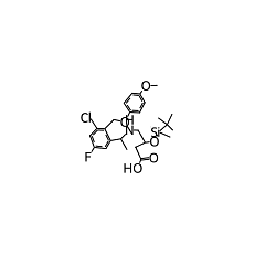 COc1ccc(OCc2c(Cl)cc(F)cc2C(C)NCC(CC(=O)O)O[Si](C)(C)C(C)(C)C)cc1